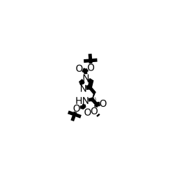 COC(=O)[C@H](Cc1cn(C(=O)OC(C)(C)C)cn1)NC(=O)OC(C)(C)C